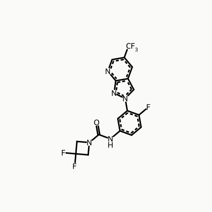 O=C(Nc1ccc(F)c(-n2cc3cc(C(F)(F)F)cnc3n2)c1)N1CC(F)(F)C1